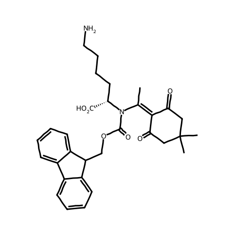 CC(=C1C(=O)CC(C)(C)CC1=O)N(C(=O)OCC1c2ccccc2-c2ccccc21)[C@@H](CCCCN)C(=O)O